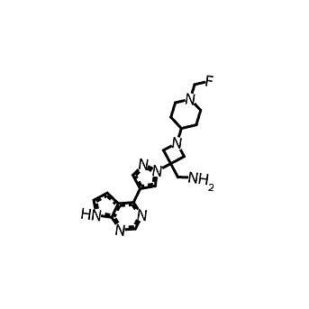 NCC1(n2cc(-c3ncnc4[nH]ccc34)cn2)CN(C2CCN(CF)CC2)C1